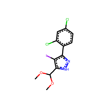 COC(OC)c1[nH]nc(-c2ccc(Cl)cc2Cl)c1I